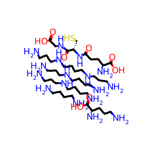 NCCCCN.NCCCCNCCCN.NCCCCNCCCN.NCCCNCCCCNCCCN.NCCC[C@H](N)C(=O)O.N[C@@H](CCC(=O)N[C@@H](CS)C(=O)NCC(=O)O)C(=O)O